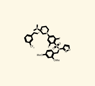 COc1ccc(CN(c2ccon2)S(=O)(=O)c2c(F)cc(N3CCC[C@](CCc4cccc(C(F)(F)F)c4)(N(C)C)C3)cc2F)c(OC)c1